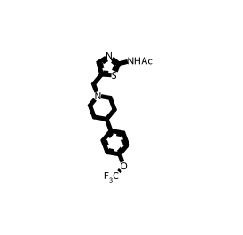 CC(=O)Nc1ncc(CN2CCC(c3ccc(OC(F)(F)F)cc3)CC2)s1